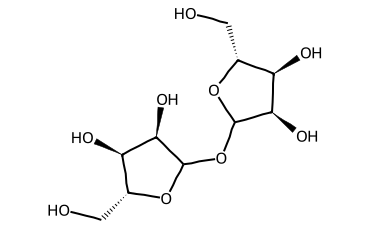 OC[C@H]1OC(OC2O[C@H](CO)[C@@H](O)[C@H]2O)[C@H](O)[C@@H]1O